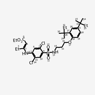 CCOC(=O)C=C(CC)Nc1cc(Cl)c(S(=O)(=O)NCCCOc2ccc(C(C)(C)CC)cc2C(C)(C)CC)cc1Cl